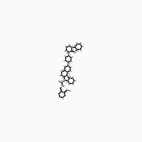 C\C=c1/cccc/c1=C/N=C(\C)n1c2ccccc2c2c3ccc(-c4ccc(-c5cccc6c5oc5ccccc56)cc4)cc3ccc21